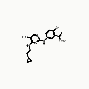 COC(=O)c1cc(Nc2ncc(C(F)(F)F)c(NCCC3CC3)n2)ccc1Br